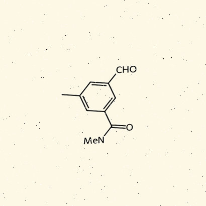 CNC(=O)c1cc(C)cc(C=O)c1